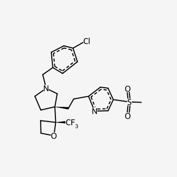 CS(=O)(=O)c1ccc(CC[C@@]2([C@@]3(C(F)(F)F)CCO3)CCN(Cc3ccc(Cl)cc3)C2)nc1